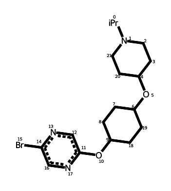 CC(C)N1CCC(OC2CCC(Oc3cnc(Br)cn3)CC2)CC1